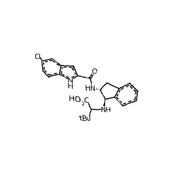 CC(C)(C)C(N[C@@H]1c2ccccc2C[C@H]1NC(=O)c1cc2cc(Cl)ccc2[nH]1)C(=O)O